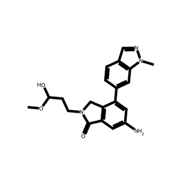 COC(O)CCN1Cc2c(cc(N)cc2-c2ccc3cnn(C)c3c2)C1=O